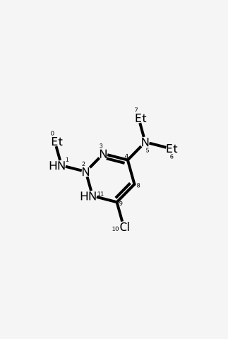 CCNN1N=C(N(CC)CC)C=C(Cl)N1